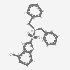 O=S(=O)(c1nc2c(Cl)cccc2s1)N(Cc1ccccc1)Cc1ccccc1